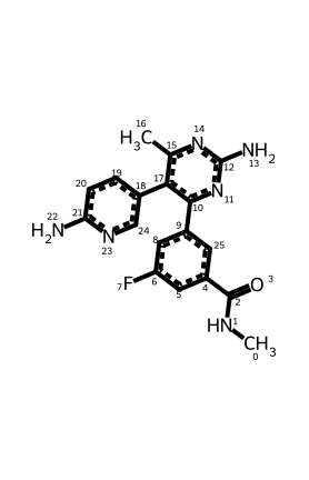 CNC(=O)c1cc(F)cc(-c2nc(N)nc(C)c2-c2ccc(N)nc2)c1